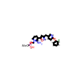 COP(O)OC[n+]1cccc(-c2cc(Cc3ccc(Oc4ccccc4F)nc3)no2)c1N